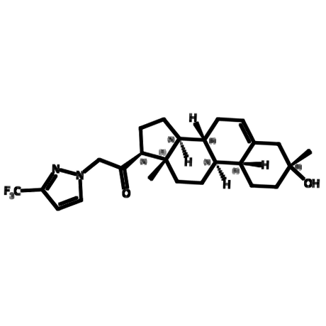 C[C@@]1(O)CC[C@H]2C(=CC[C@@H]3[C@@H]2CC[C@]2(C)[C@@H](C(=O)Cn4ccc(C(F)(F)F)n4)CC[C@@H]32)C1